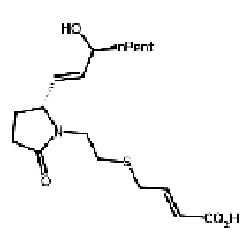 CCCCC[C@H](O)/C=C/[C@H]1CCC(=O)N1CCSC/C=C/C(=O)O